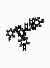 Fc1cccc(-n2cnc3c(NCc4nc5cc(F)ccc5[nH]4)nc(N4CCNCC4)nc32)c1